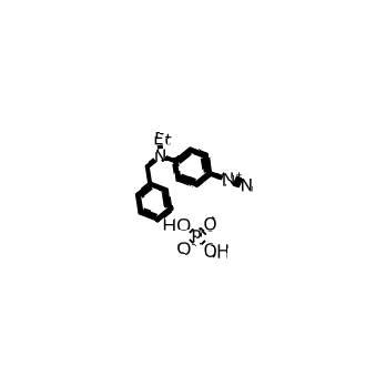 CCN(Cc1ccccc1)c1ccc([N+]#N)cc1.O=P([O-])(O)O